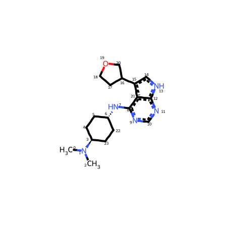 CN(C)[C@H]1CC[C@H](Nc2ncnc3[nH]cc(C4CCOC4)c23)CC1